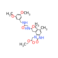 CCOC(=O)Cn1c(=O)[nH]c2cc(C)c(C)c(CC(=O)NCC(=O)NCc3cc(OC)cc(OC)c3)c21